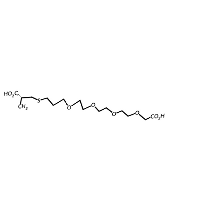 C[C@@H](CSCCCOCCOCCOCCOCC(=O)O)C(=O)O